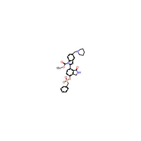 CC(C)(C)OC(=O)n1c(-c2ccc(OS(=O)(=O)Cc3ccccc3)c3c2C(=O)NC3)cc2cc(CN3CCCCC3)ccc21